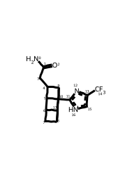 NC(=O)CC1C2C3CC4C1C2(c1nc(C(F)(F)F)c[nH]1)C34